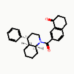 O=C1CCCc2ccc(C(=O)N3CC[C@@H](c4ccccc4)[C@@H]4CCCC[C@@H]43)cc21